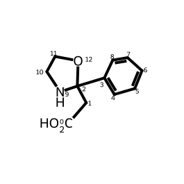 O=C(O)CC1(c2ccccc2)NCCO1